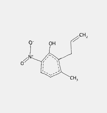 C=CCc1c(C)ccc([N+](=O)[O-])c1O